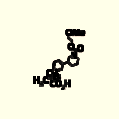 COCCOC(=O)N1CCCC(c2cccc(OC(C)(C)C(=O)O)c2)C1